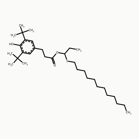 CCCCCCCCCCCCSC(CC)OC(=O)CCc1cc(C(C)(C)C)c(O)c(C(C)(C)C)c1